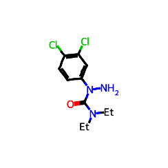 CCN(CC)C(=O)N(N)c1ccc(Cl)c(Cl)c1